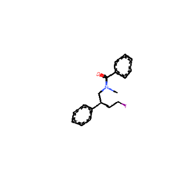 CN(CC(CCI)c1ccccc1)C(=O)c1ccccc1